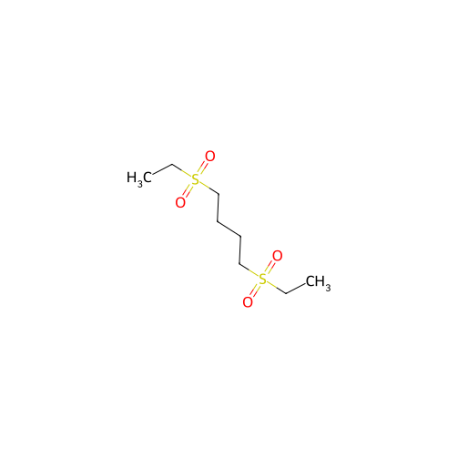 CCS(=O)(=O)CCCCS(=O)(=O)CC